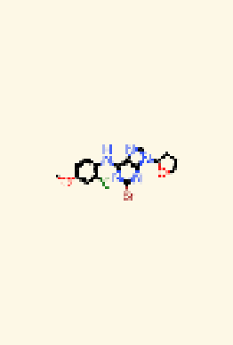 COc1ccc(Nc2nc(Br)nc3c2ncn3C2CCCO2)c(Cl)c1